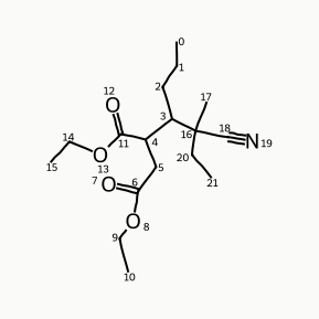 CCCC(C(CC(=O)OCC)C(=O)OCC)C(C)(C#N)CC